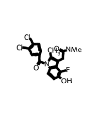 CNC(=O)Cc1c(C)n(C(=O)c2ccc(Cl)c(Cl)c2)c2ccc(O)c(F)c12